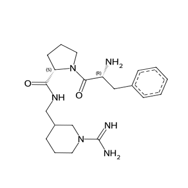 N=C(N)N1CCCC(CNC(=O)[C@@H]2CCCN2C(=O)[C@H](N)Cc2ccccc2)C1